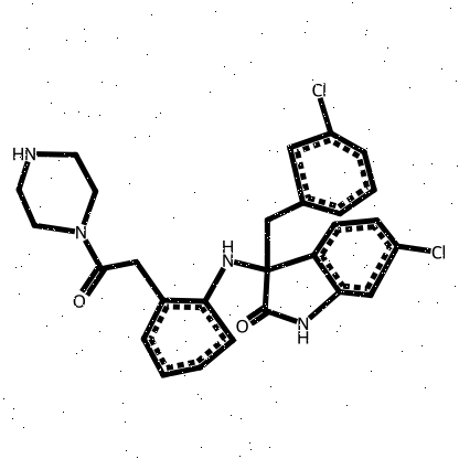 O=C(Cc1ccccc1NC1(Cc2cccc(Cl)c2)C(=O)Nc2cc(Cl)ccc21)N1CCNCC1